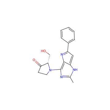 Cc1nc(N2CCC(=O)[C@@H]2CO)c2nc(-c3ccccc3)cc-2[nH]1